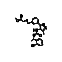 COC(=O)CSCc1cccc(-c2onc(C)c2NC(=O)OC(C)c2ccccc2Cl)c1